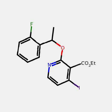 CCOC(=O)c1c(I)ccnc1OC(C)c1ccccc1F